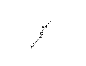 C=C(C)C(=O)OCCCCCCOc1ccc(C=CC(=O)OCCCCC)cc1